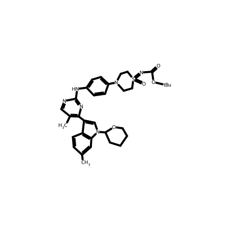 Cc1ccc2c(-c3nc(Nc4ccc(N5CCS(=O)(=NC(=O)OC(C)(C)C)CC5)cc4)ncc3C)cn(C3CCCCO3)c2c1